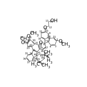 COc1ccc(C2(c3ccc(OCCO)cc3)C=Cc3c4c(c5cc(OC)c(OC)cc5c3O2)-c2ccccc2C42CC(C)(C)CC(C)(C)C2)cc1